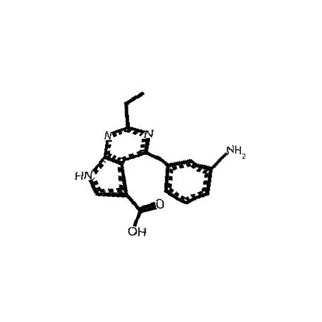 CCc1nc(-c2cccc(N)c2)c2c(C(=O)O)c[nH]c2n1